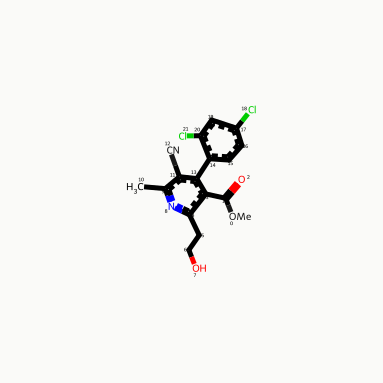 COC(=O)c1c(CCO)nc(C)c(C#N)c1-c1ccc(Cl)cc1Cl